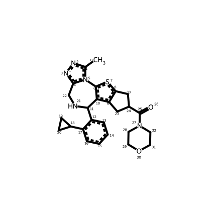 Cc1nnc2n1-c1sc3c(c1C(c1ccccc1C1CC1)NC2)CC(C(=O)N1CCOCC1)C3